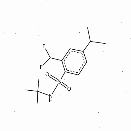 CC(C)c1ccc(S(=O)(=O)NC(C)(C)C)c(C(F)F)c1